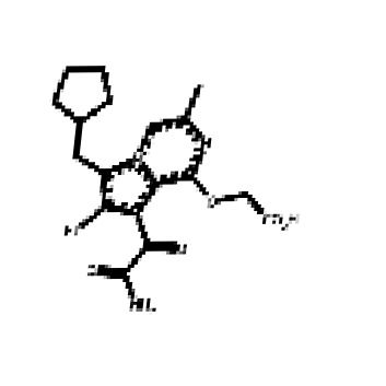 CCc1c(C(=O)C(N)=O)c2c(OCC(=O)O)nc(C)cn2c1CC1CCCC1